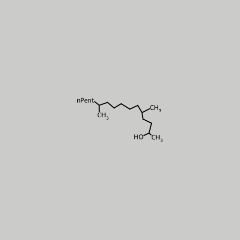 CCCCCC(C)CCCCCC(C)CCC(C)O